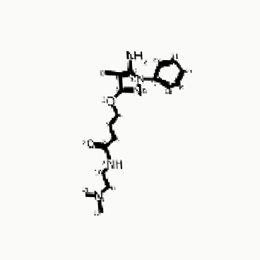 Cc1c(OCCCC(=O)NCCN(C)C)nn(-c2ccccc2)c1N